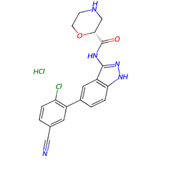 Cl.N#Cc1ccc(Cl)c(-c2ccc3[nH]nc(NC(=O)[C@H]4CNCCO4)c3c2)c1